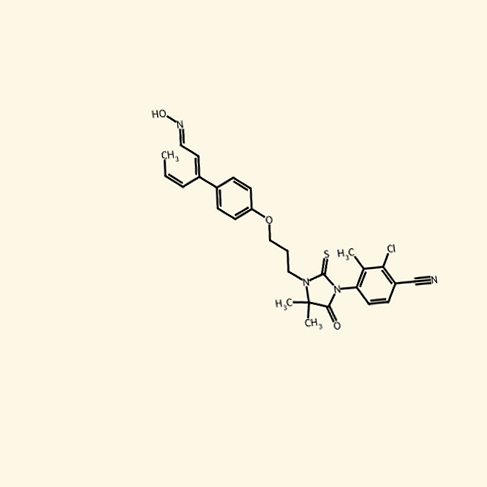 C\C=C/C(=C\C=N\O)c1ccc(OCCCN2C(=S)N(c3ccc(C#N)c(Cl)c3C)C(=O)C2(C)C)cc1